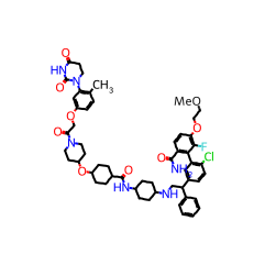 COCCOc1ccc(C(N)=O)c(-c2cc(C(CNC3CCC(NC(=O)C4CCC(OC5CCN(C(=O)COc6ccc(C)c(N7CCC(=O)NC7=O)c6)CC5)CC4)CC3)c3ccccc3)ccc2Cl)c1F